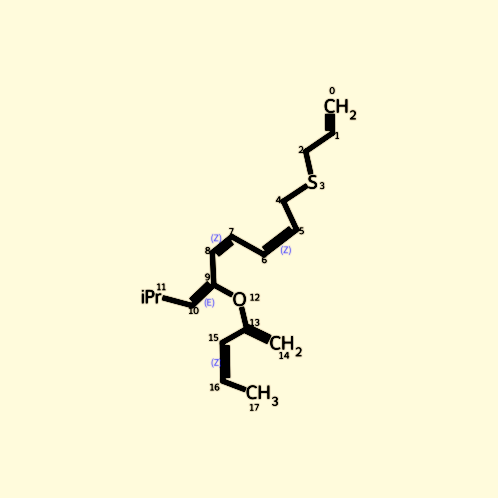 C=CCSC\C=C/C=C\C(=C/C(C)C)OC(=C)/C=C\C